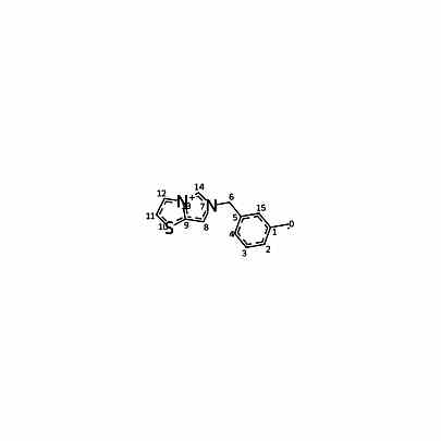 [CH2]c1cccc(Cn2cc3scc[n+]3c2)c1